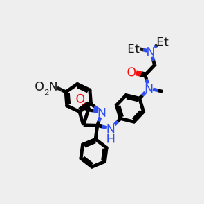 CCN(CC)CC(=O)N(C)c1ccc(NC2(c3ccccc3)C3C(=O)N2c2ccc([N+](=O)[O-])cc23)cc1